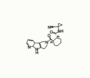 N#CC1(NC(=O)[C@@H]2CCCC[C@H]2C(=O)N2CCC3=C(C2)C2C=CC=NC2N3)CC1